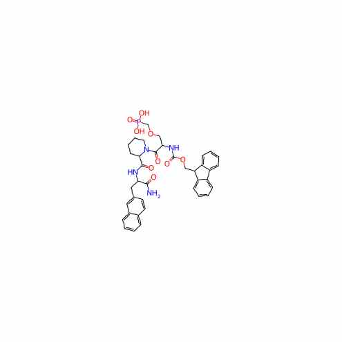 NC(=O)C(Cc1ccc2ccccc2c1)NC(=O)C1CCCCN1C(=O)C(COCP(=O)(O)O)NC(=O)OCC1c2ccccc2-c2ccccc21